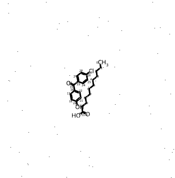 CCCCCCCCCCCC(=O)O.O=C(c1ccc(O)cc1)c1ccc(Cl)cc1